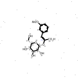 COc1cccc(/C=C(/O[C@H]2O[C@@H](CO)[C@@H](O)[C@H](O)[C@H]2O)C(=O)O)c1